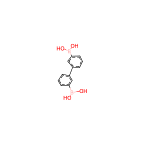 OB(O)c1cccc(-c2cccc(B(O)O)c2)c1